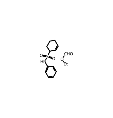 CCOC=O.O=S(=O)(Nc1ccccc1)C1C=CCCC1